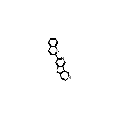 c1ccc2nc(-c3cc4sc5ccncc5c4cn3)ccc2c1